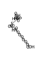 O=C(O)COCCOCCOCCOCCOCCOCCNC(=O)C1CCC(CN2C(=O)CC(SCCCCC[C@H](NC(=O)C3CCC(=O)N3)C(=O)Nc3ccccc3)C2=O)CC1